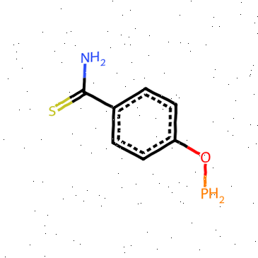 NC(=S)c1ccc(OP)cc1